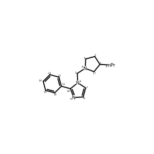 CCCC1CCN(Cn2ccnc2-c2ccccc2)C1